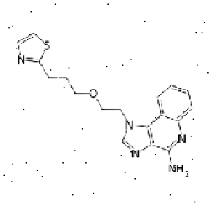 Nc1nc2ccccc2c2c1ncn2CCOCCCc1nccs1